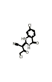 N#C/C(C(=O)CCl)=C1/NC(=O)c2ccc(Cl)cc2N1